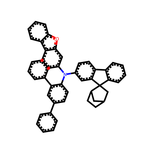 c1ccc(-c2ccc(N(c3ccc4c(c3)C3(CC5CCC3C5)c3ccccc3-4)c3ccc4c(c3)oc3ccccc34)c(-c3ccccc3)c2)cc1